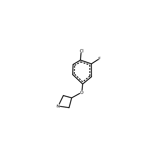 Fc1cc(OC2C[N]C2)ccc1Cl